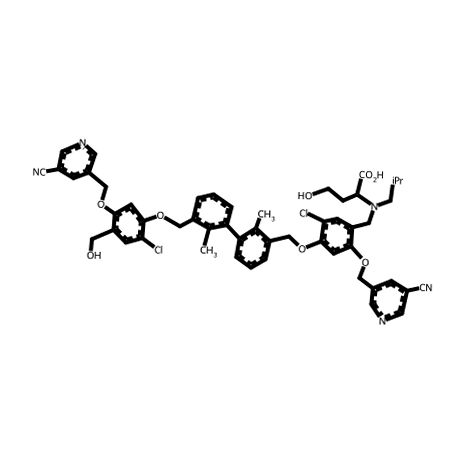 Cc1c(COc2cc(OCc3cncc(C#N)c3)c(CO)cc2Cl)cccc1-c1cccc(COc2cc(OCc3cncc(C#N)c3)c(CN(CC(C)C)C(CCO)C(=O)O)cc2Cl)c1C